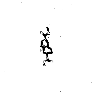 COC(=O)C1=CC2=CC=C(C(=O)OC)C[C@H]2C=C1